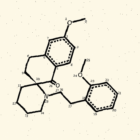 COc1ccc2c(c1)CC[C@@]1(CCCCN1CCc1ccccc1OC)C2=O